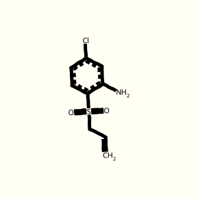 C=CCS(=O)(=O)c1ccc(Cl)cc1N